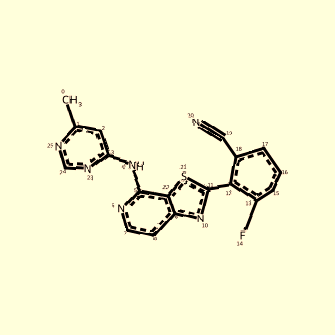 Cc1cc(Nc2nccc3nc(-c4c(F)cccc4C#N)sc23)ncn1